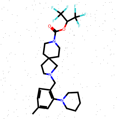 Cc1ccc(CN2CCC3(CCN(C(=O)OC(C(F)(F)F)C(F)(F)F)CC3)C2)c(N2CCCCC2)c1